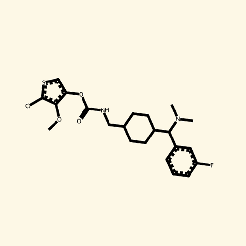 COc1c(OC(=O)NCC2CCC(C(c3cccc(F)c3)N(C)C)CC2)csc1Cl